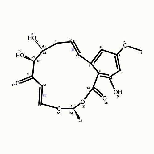 COc1cc(O)c2c(c1)/C=C/C[C@@H](O)[C@H](O)C(=O)/C=C/C[C@H](C)OC2=O